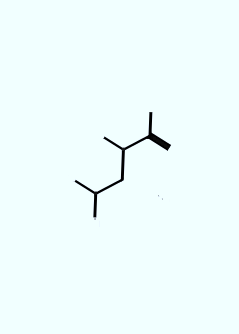 CC(S)CC(O)C(=O)[O-].[Na+]